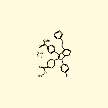 CCCCCCC.COC(=O)c1ccc(-c2c(C3CCN(C(=O)OC(C)(C)C)CC3)n(-c3ccc(F)cc3)c3cccc(OCc4ccccc4)c23)cc1